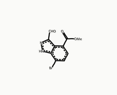 COC(=O)c1ccc(Br)c2[nH]nc(C=O)c12